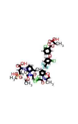 CC1COc2ccccc2N1C(=O)C(Cl)Cl.CCOCN(C(=O)CCl)c1c(C)cccc1CC.CP(=O)(O)CCC(N)C(=O)O.C[C@H](OC(=O)c1cc(Oc2ccc(C(F)(F)F)cc2Cl)ccc1Cl)C(=O)O